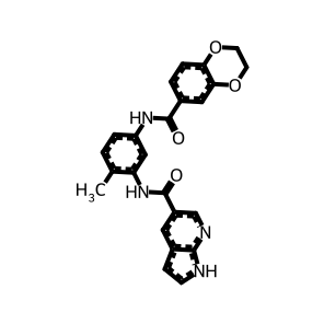 Cc1ccc(NC(=O)c2ccc3c(c2)OCCO3)cc1NC(=O)c1cnc2[nH]ccc2c1